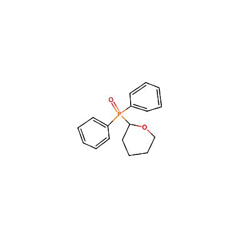 O=P(c1ccccc1)(c1ccccc1)C1CCCCO1